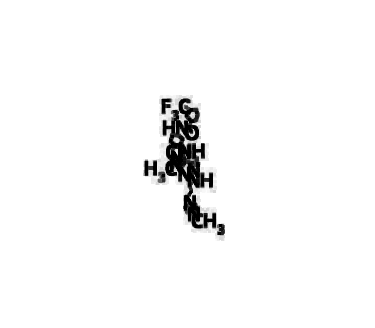 Cc1ccc(NC(=O)c2cccc(C(F)(F)F)c2)cc1Nc1nn(C)c2nc(NCCCN3CCN(C)CC3)ncc12